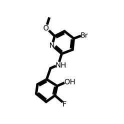 COc1cc(Br)cc(NCc2cccc(F)c2O)n1